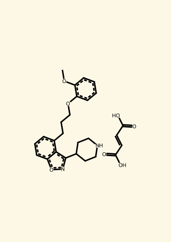 COc1ccccc1OCCCc1cccc2onc(C3CCNCC3)c12.O=C(O)C=CC(=O)O